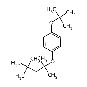 CC(C)(C)CC(C)(C)Oc1ccc(OC(C)(C)C)cc1